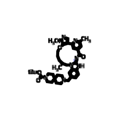 Cc1cc2cc(n1)-c1cnn(C)c1OCCC[C@@H](C)CN1/C(=N/C2=O)Nc2ccc(CN3CCC4(CC3)CCN(C(=O)OC(C)(C)C)CC4)cc21